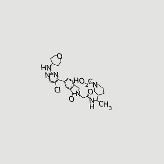 CC(NC(=O)CN1Cc2ccc(-c3nc(NC4CCOCC4)ncc3Cl)cc2C1=O)[C@@H]1CCCN(C(=O)O)C1